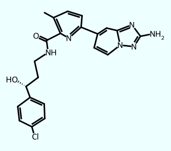 Cc1ccc(-c2ccn3nc(N)nc3c2)nc1C(=O)NCC[C@@H](O)c1ccc(Cl)cc1